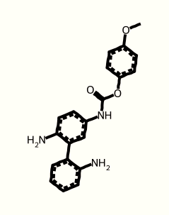 COc1ccc(OC(=O)Nc2ccc(N)c(-c3ccccc3N)c2)cc1